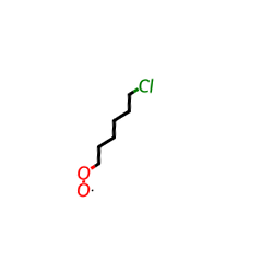 [O]OCCCCCCCl